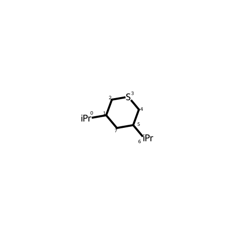 CC(C)C1CSCC(C(C)C)C1